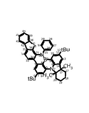 CC(C)(C)c1cc2c3c(c1)N1c4c(cc(C(C)(C)C)cc4C4(C)CCCCC14C)B3N(c1ccccc1)c1c-2ccc2c1sc1ccccc12